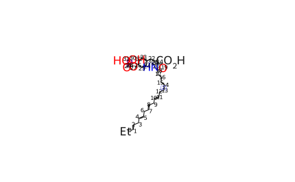 CCC=CCC=CCC=CCC=CC/C=C\CCCC(=O)N[C@@H](Cc1ccc(OP(=O)(O)O)cc1)C(=O)O